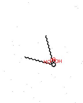 CCCCCCCCCCCCCCCCC1(C(=O)O)CC=CCC1(CCCCCCCCCCCCCCCC)C(=O)O